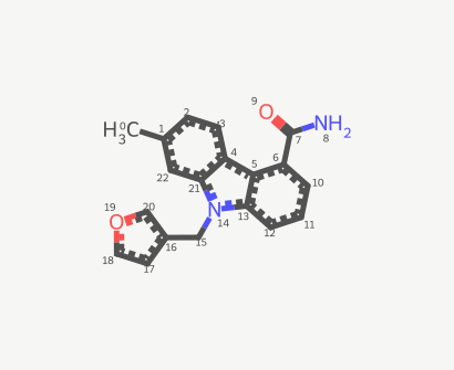 Cc1c[c]c2c3c(C(N)=O)cccc3n(Cc3ccoc3)c2c1